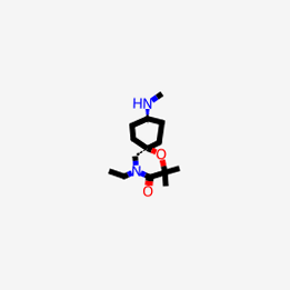 CCN1C[C@]2(CC[C@H](NC)CC2)OC(C)(C)C1=O